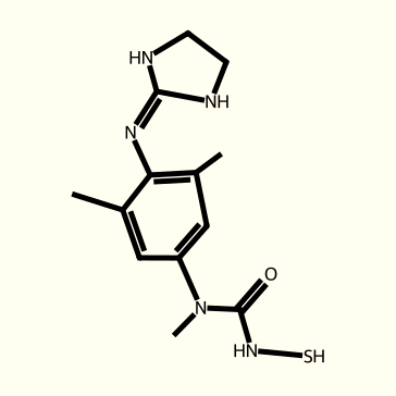 Cc1cc(N(C)C(=O)NS)cc(C)c1N=C1NCCN1